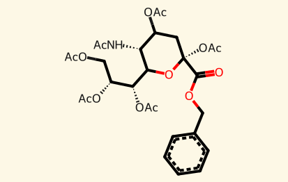 CC(=O)N[C@@H]1C(OC(C)=O)C[C@@](OC(C)=O)(C(=O)OCc2ccccc2)OC1[C@H](OC(C)=O)[C@@H](COC(C)=O)OC(C)=O